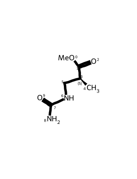 COC(=O)[C@@H](C)CNC(N)=O